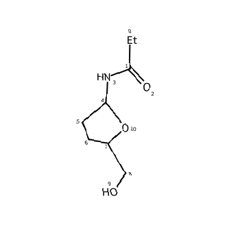 CCC(=O)NC1CCC(CO)O1